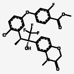 COC(=O)c1ccc(Oc2ccc(Cl)c([C@H](C)[C@](O)(c3ccc4c(c3)N(C)C(=O)CO4)C(F)(F)F)c2)cc1F